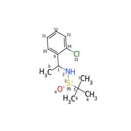 CC(N[S@@+]([O-])C(C)(C)C)c1ccccc1Cl